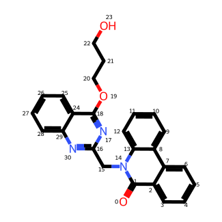 O=c1c2ccccc2c2ccccc2n1Cc1nc(OCCCO)c2ccccc2n1